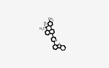 Cc1ccc2c(c1)C(C)(C)c1cccc3c(-c4ccc(-c5cccc6c7c(sc56)C=CCC7)nc4)ccc-2c13